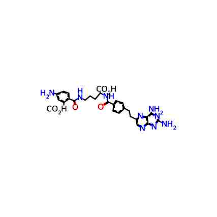 Nc1ccc(C(=O)NCCC[C@H](NC(=O)c2ccc(CCc3cnc4nc(N)nc(N)c4n3)cc2)C(=O)O)c(C(=O)O)c1